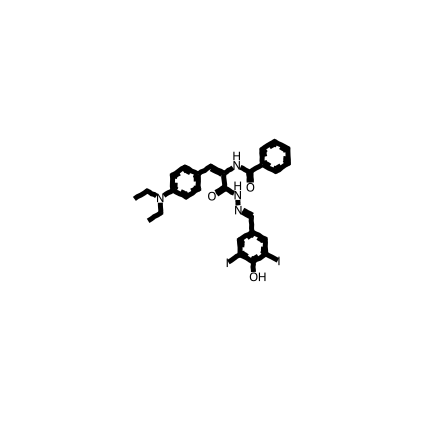 CCN(CC)c1ccc(/C=C(/NC(=O)c2ccccc2)C(=O)N/N=C/c2cc(I)c(O)c(I)c2)cc1